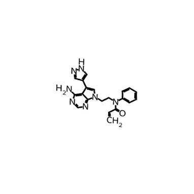 C=CC(=O)N(CCn1cc(-c2cn[nH]c2)c2c(N)ncnc21)c1ccccc1